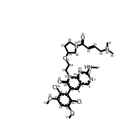 CNc1ncc2cc(-c3c(Cl)c(OC)cc(OC)c3Cl)c(=O)n(CCOC3CCN(C(=O)C=CCN(C)C)C3)c2n1